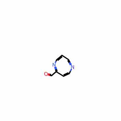 O=CC1=NC=CC=NC=C1